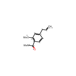 C=CCc1ccc(C(=O)NC)c(OC)c1